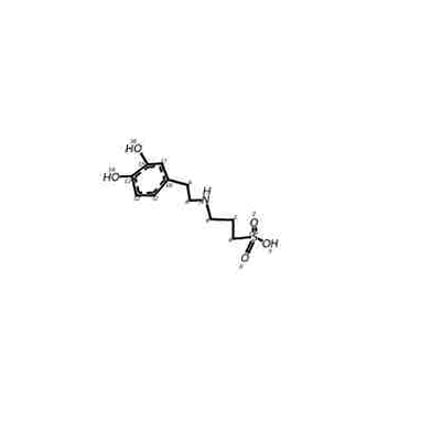 O=S(=O)(O)CCCNCCc1ccc(O)c(O)c1